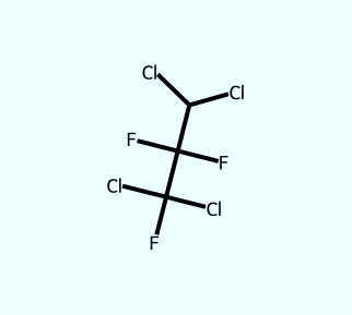 FC(Cl)(Cl)C(F)(F)C(Cl)Cl